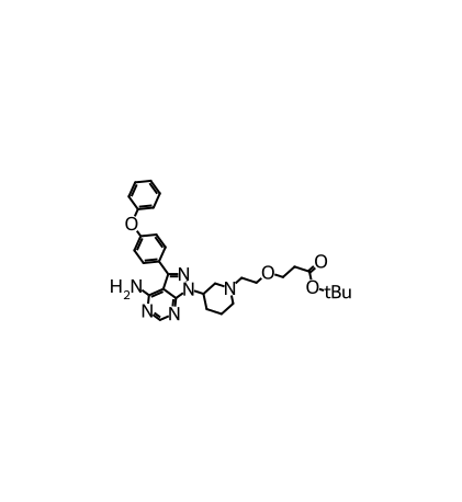 CC(C)(C)OC(=O)CCOCCN1CCCC(n2nc(-c3ccc(Oc4ccccc4)cc3)c3c(N)ncnc32)C1